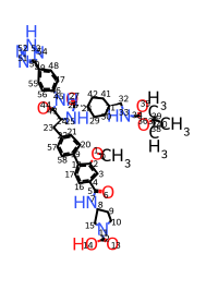 COc1cc(C(=O)N[C@@H]2CCN(C(=O)O)C2)ccc1-c1ccc(C[C@H](NC(=O)[C@H]2CC[C@H](CNC(=O)OC(C)(C)C)CC2)C(=O)Nc2ccc(-c3nn[nH]n3)cc2)cc1